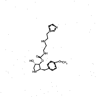 COc1ccc(C[C@H]2NC[C@H](O)[C@H]2OC(=O)NCCNCCn2ccnc2)cc1